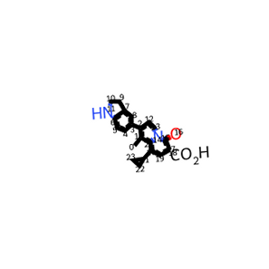 Cc1c(-c2ccc3c(c2)CCN3)ccn2c(=O)c(C(=O)O)cc(C3CC3)c12